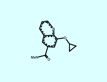 CNC(=O)c1cc(OC2CC2)c2ncccc2c1